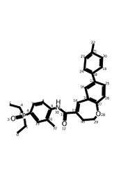 CCP(=O)(CC)c1ccc(NC(=O)C2=Cc3cc(-c4ccc(C)cc4)ccc3OCC2)c(C)c1